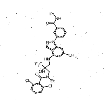 CCN(CC(O)(CNc1cc(C)cc2c1cnn2-c1cccc(C(=O)NC(C)C)c1)C(F)(F)F)C(=O)c1c(Cl)cccc1Cl